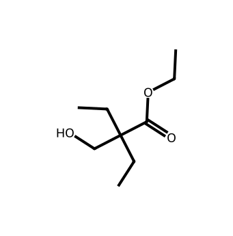 CCOC(=O)C(CC)(CC)CO